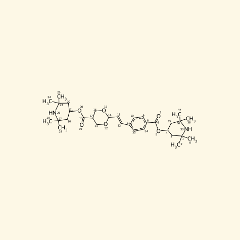 CC1(C)CC(OC(=O)c2ccc(/C=C/C3OCC(C(=O)OC4CC(C)(C)NC(C)(C)C4)CO3)cc2)CC(C)(C)N1